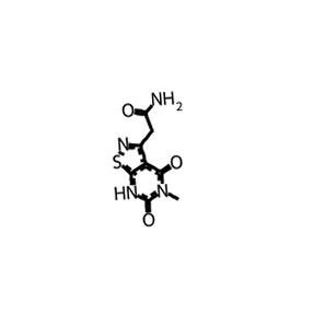 Cn1c(=O)[nH]c2snc(CC(N)=O)c2c1=O